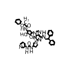 CC(Oc1ccccc1)C(=O)N[C@H]1C[C@@H](n2cnc3c(NCC(c4ccccc4)c4ccccc4)nc(N4CCC(NC(=O)Nc5cccnc5)C4)nc32)[C@H](O)[C@@H]1O